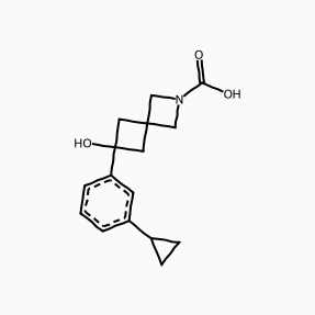 O=C(O)N1CC2(C1)CC(O)(c1cccc(C3CC3)c1)C2